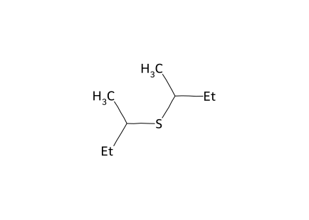 [CH2]CC(C)SC(C)CC